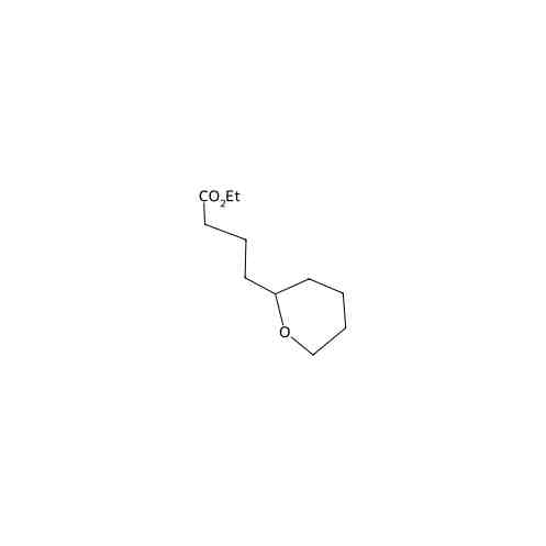 CCOC(=O)CCCC1CCCCO1